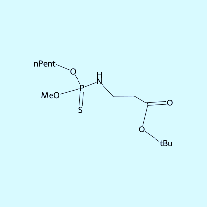 CCCCCOP(=S)(NCCC(=O)OC(C)(C)C)OC